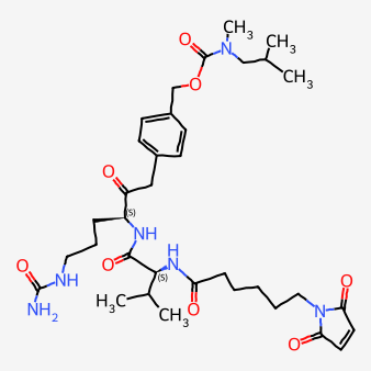 CC(C)CN(C)C(=O)OCc1ccc(CC(=O)[C@H](CCCNC(N)=O)NC(=O)[C@@H](NC(=O)CCCCCN2C(=O)C=CC2=O)C(C)C)cc1